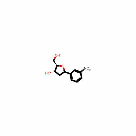 O=[N+]([O-])c1cccc([C]2C[C@H](O)[C@@H](CO)O2)c1